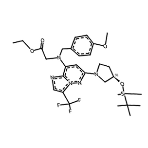 CCOC(=O)CN(Cc1ccc(OC)cc1)c1cc(N2CC[C@@H](O[Si](C)(C)C(C)(C)C)C2)nn2c(C(F)(F)F)cnc12